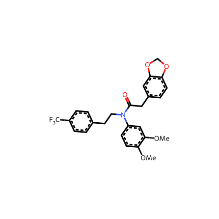 COc1ccc(N(CCc2ccc(C(F)(F)F)cc2)C(=O)Cc2ccc3c(c2)OCO3)cc1OC